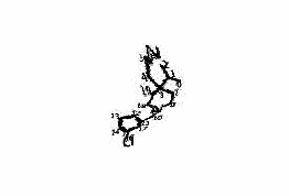 CC(C)C1(CC#N)CCN(Cc2cccc(Cl)c2)CC1